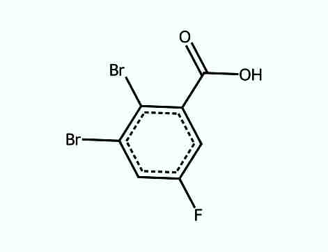 O=C(O)c1cc(F)cc(Br)c1Br